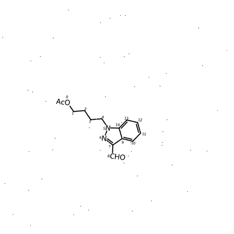 CC(=O)OCCCCn1nc(C=O)c2ccccc21